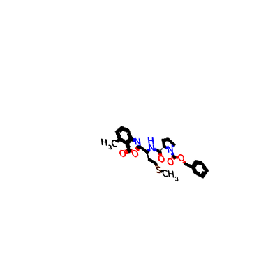 CSCC[C@H](NC(=O)[C@@H]1CCCN1C(=O)OCc1ccccc1)c1nc2cccc(C)c2c(=O)o1